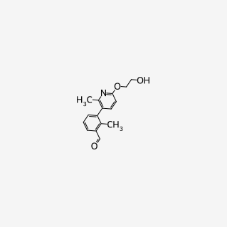 Cc1nc(OCCO)ccc1-c1cccc(C=O)c1C